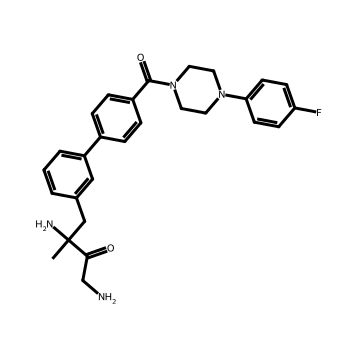 CC(N)(Cc1cccc(-c2ccc(C(=O)N3CCN(c4ccc(F)cc4)CC3)cc2)c1)C(=O)CN